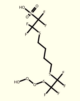 O=S(=O)(O)C(F)(F)C(F)(F)SCCCCSC(F)(F)C(F)(F)SOOO